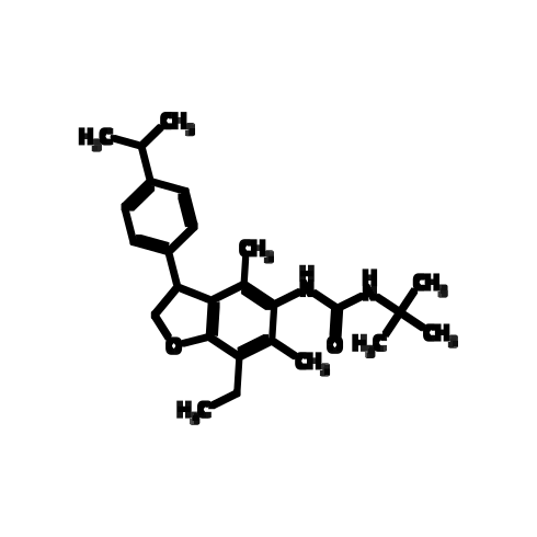 CCc1c(C)c(NC(=O)NC(C)(C)C)c(C)c2c1OCC2c1ccc(C(C)C)cc1